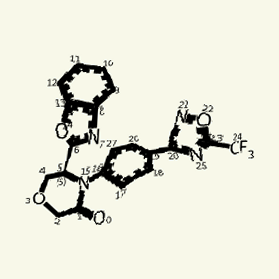 O=C1COC[C@@H](c2nc3ccccc3o2)N1c1ccc(-c2noc(C(F)(F)F)n2)cc1